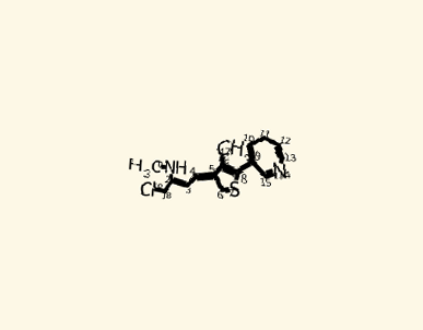 CN/C(=C\C=C1/CSC(C2=CCC=CN=C2)=C1C)CCl